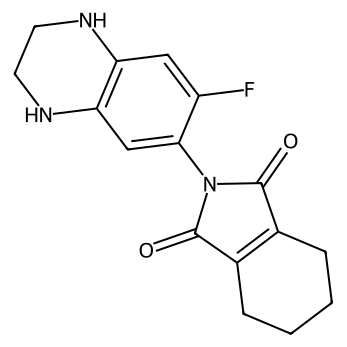 O=C1C2=C(CCCC2)C(=O)N1c1cc2c(cc1F)NCCN2